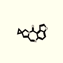 O=C1c2c(ccc3occc23)N=CC2=CC3(CC3)CN12